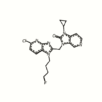 O=c1n(Cc2nc3nc(Cl)ccc3n2CCCCF)c2cnccc2n1C1CC1